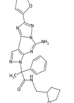 CC(C(=O)NCC1CCCO1)(c1ccccc1)n1ncc2c1nc(N)n1nc(-c3ccco3)nc21